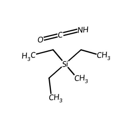 CC[Si](C)(CC)CC.N=C=O